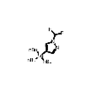 CCC[CH2][Sn]([CH2]CCC)([CH2]CCC)[c]1cnn(C(F)F)c1